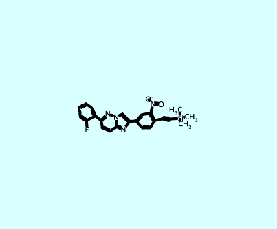 C[Si](C)(C)C#Cc1ccc(-c2cn3nc(-c4ccccc4F)ccc3n2)cc1[N+](=O)[O-]